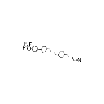 N#CC=CCCC1CCC(CCCCC2CCC(c3ccc(OC(F)(F)F)cc3)CC2)CC1